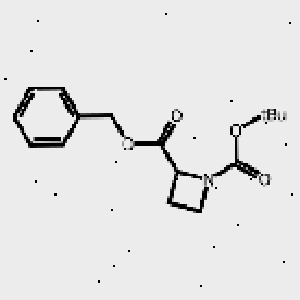 CC(C)(C)OC(=O)N1CCC1C(=O)OCc1ccccc1